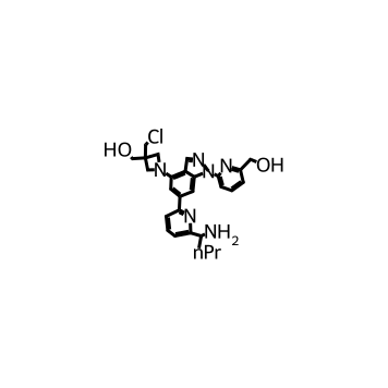 CCCC(N)c1cccc(-c2cc(N3CC(CO)(CCl)C3)c3cnn(-c4cccc(CO)n4)c3c2)n1